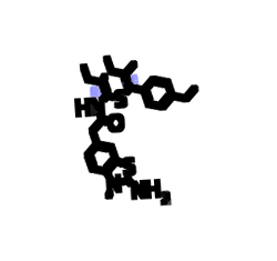 CC/C(C)=C(\S/C(NC(=O)Cc1ccc2c(c1)SC(N)N2C)=C(\C)CC)c1ccc(CC)cc1